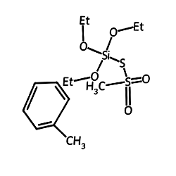 CCO[Si](OCC)(OCC)SS(C)(=O)=O.Cc1ccccc1